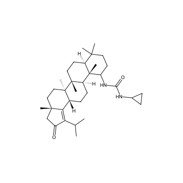 CC(C)C1=C2[C@H]3CC[C@@H]4[C@@]5(C)C(NC(=O)NC6CC6)CCC(C)(C)[C@@H]5CC[C@@]4(C)[C@]3(C)CC[C@@]2(C)CC1=O